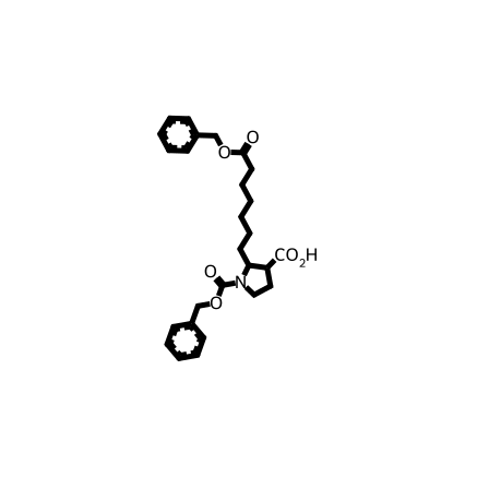 O=C(CCCCCCC1C(C(=O)O)CCN1C(=O)OCc1ccccc1)OCc1ccccc1